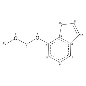 COCOc1cccc2c1CC=C2